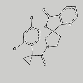 O=C1OC2(CCN(C(=O)C3(c4ccc(Cl)cc4Cl)CC3)C2)c2ccccc21